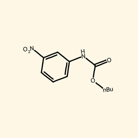 CCCCOC(=O)Nc1cccc([N+](=O)[O-])c1